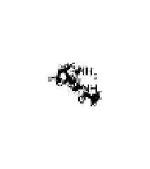 C[C@H]1C[C@H]2CSC(N)=NC2(c2nc(NC(=O)C34CC(C3)C4)cs2)CO1